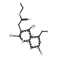 CCOC(=O)Cc1c(O)nc2cc(Cl)cc(CC)c2c1O